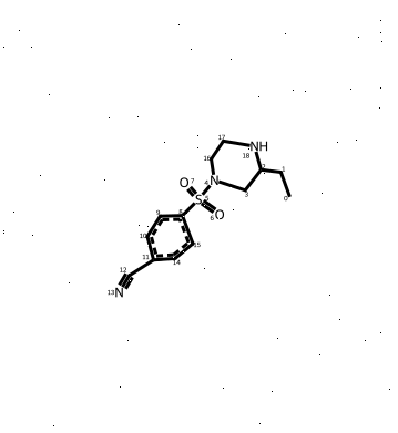 CCC1CN(S(=O)(=O)c2ccc(C#N)cc2)CCN1